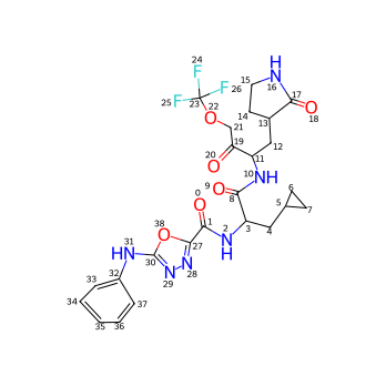 O=C(NC(CC1CC1)C(=O)NC(CC1CCNC1=O)C(=O)COC(F)(F)F)c1nnc(Nc2ccccc2)o1